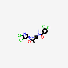 CC(C(=O)Nc1cnc(Cl)c(Cl)c1)C12CC(NC(=O)c3ccc(Cl)c(Cl)c3)(C1)C2